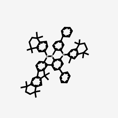 Cc1cc2c(cc1N1c3cc(-c4ccccc4)ccc3B3c4c(cc(-c5ccccc5)cc41)-c1c(ccc4c1C(C)(C)c1cc5c(cc1-4)C(C)(C)CCC5(C)C)N3c1ccc3c(c1)C(C)(C)CCC3(C)C)C(C)(C)CCC2(C)C